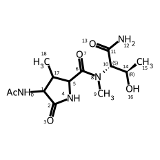 CC(=O)NC1C(=O)NC(C(=O)N(C)[C@H](C(N)=O)[C@@H](C)O)C1C